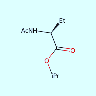 CC[C@H](NC(C)=O)C(=O)OC(C)C